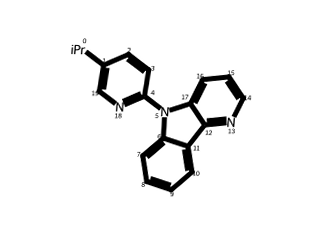 CC(C)c1ccc(-n2c3ccccc3c3ncccc32)nc1